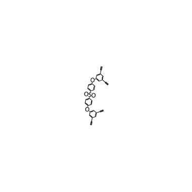 C#Cc1cc(C#C)cc(Oc2ccc(S(=O)(=O)c3ccc(Oc4cc(C#C)cc(C#C)c4)cc3)cc2)c1